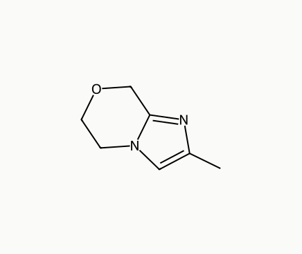 Cc1cn2c(n1)COCC2